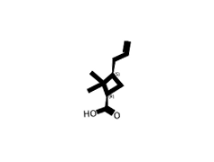 C=CC[C@H]1C[C@@H](C(=O)O)C1(C)C